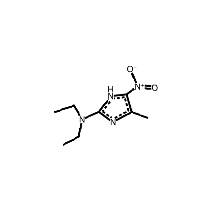 CCN(CC)c1nc(C)c([N+](=O)[O-])[nH]1